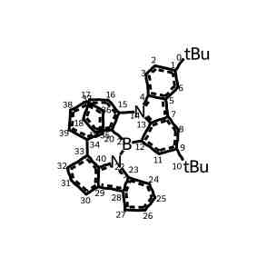 CC(C)(C)c1ccc2c(c1)c1cc(C(C)(C)C)cc3c1n2-c1ccccc1B3n1c2ccccc2c2cccc(-c3ccccc3)c21